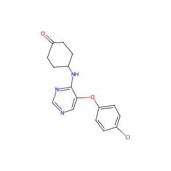 O=C1CCC(Nc2ncncc2Oc2ccc(Cl)cc2)CC1